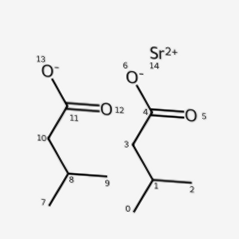 CC(C)CC(=O)[O-].CC(C)CC(=O)[O-].[Sr+2]